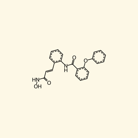 O=C(/C=C/c1ccccc1NC(=O)c1ccccc1Oc1ccccc1)NO